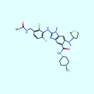 CN(c1cc2c(cc1C(=O)N[C@H]1CC[C@H](C(F)(F)F)CC1)nc(Nc1c(Cl)ccc(CNC(=O)C(C)(C)C)c1Cl)n2C)C1CCSC1